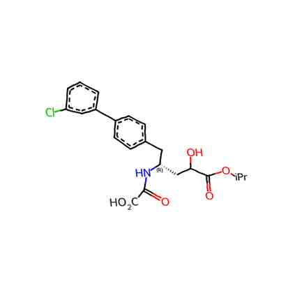 CC(C)OC(=O)C(O)C[C@@H](Cc1ccc(-c2cccc(Cl)c2)cc1)NC(=O)C(=O)O